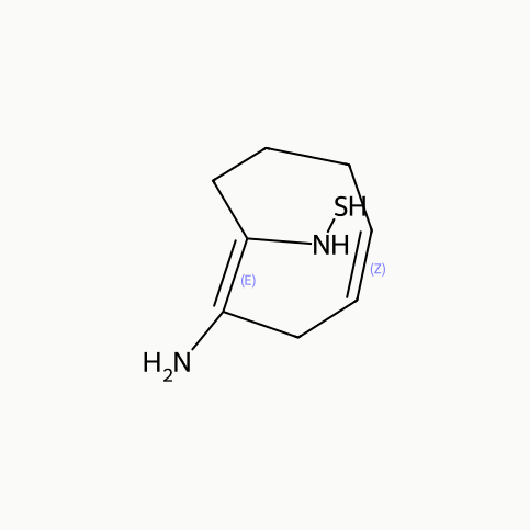 N/C1=C(/NS)CCC/C=C\C1